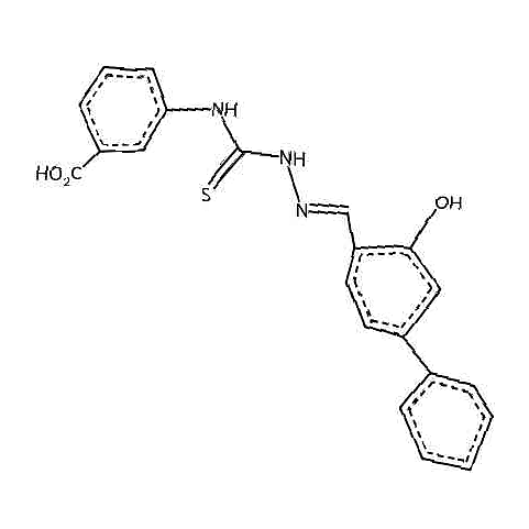 O=C(O)c1cccc(NC(=S)N/N=C/c2ccc(-c3ccccc3)cc2O)c1